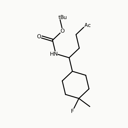 CC(=O)CCC(NC(=O)OC(C)(C)C)C1CCC(C)(F)CC1